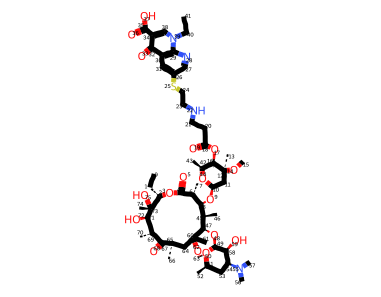 CC[C@@H]1OC(=O)[C@H](C)[C@H](O[C@@H]2C[C@](C)(OC)[C@H](OC(=O)CCNCCSc3cnc4c(c3)c(=O)c(C(=O)O)cn4CC)[C@H](C)O2)[C@@H](C)[C@H](O[C@@H]2O[C@H](C)C[C@H](N(C)C)[C@@H]2O)C(C)(OC)C[C@H](C)C(=O)[C@H](C)[C@@H](O)[C@]1(C)O